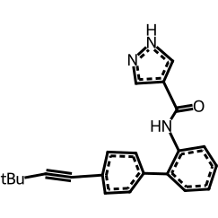 CC(C)(C)C#Cc1ccc(-c2ccccc2NC(=O)c2cn[nH]c2)cc1